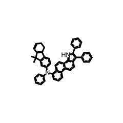 CC1(C)C2=C(CCC=C2)c2ccc(N(c3ccccc3)c3cccc4c3ccc3c4ccc4c(-c5ccccc5)c(-c5ccccc5)[nH]c43)cc21